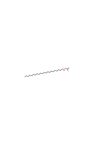 CCCCCCCCCCCCCCCCCCCCCCOCC(C)C